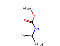 CCCCCOC(=O)NC(C(=O)O)C(C)CC